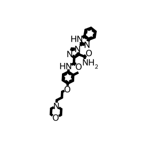 Cc1cc(OCCCN2CCOCC2)ccc1NC(=O)c1ncn(-c2nc3ccccc3[nH]2)c1C(N)=O